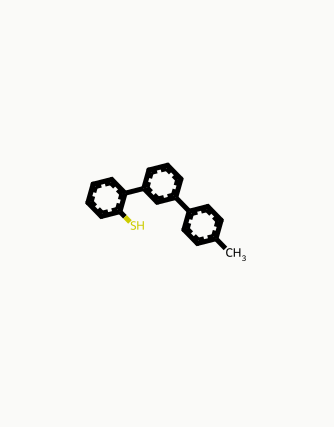 Cc1ccc(-c2cccc(-c3ccccc3S)c2)cc1